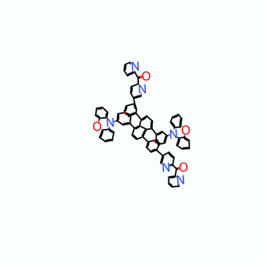 O=C(c1ccccn1)c1ccc(-c2ccc(-c3ccc(-c4cccc(N5c6ccccc6Oc6ccccc65)c4)c4c(-c5cccc(-c6ccc(C(=O)c7ccccn7)nc6)c5)ccc(-c5cccc(N6c7ccccc7Oc7ccccc76)c5)c34)cc2)cn1